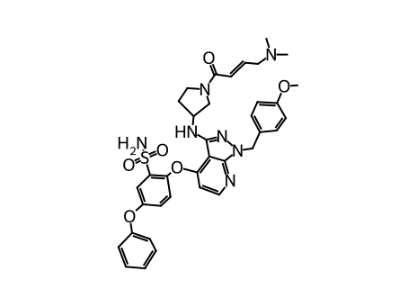 COc1ccc(Cn2nc(NC3CCN(C(=O)C=CCN(C)C)C3)c3c(Oc4ccc(Oc5ccccc5)cc4S(N)(=O)=O)ccnc32)cc1